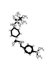 CN(C)c1ccc(CNC(=O)[C@H]2CC[C@H](NS(=O)(=O)C(C)(C)C)CC2)cc1